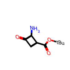 CC(C)(C)OC(=O)C1CC(=O)C1N